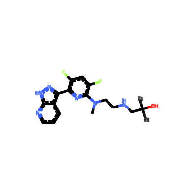 CCC(O)(CC)CNCCN(C)c1nc(-c2n[nH]c3ncccc23)c(F)cc1F